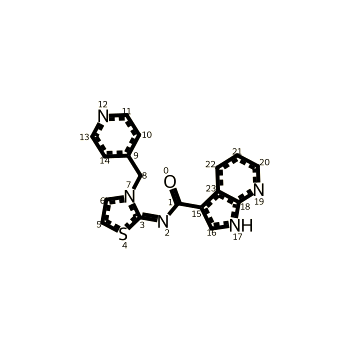 O=C(N=c1sccn1Cc1ccncc1)c1c[nH]c2ncccc12